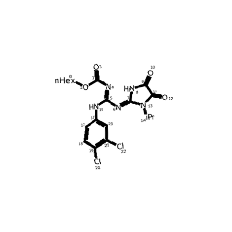 CCCCCCOC(=O)N=C(N=C1NC(=O)C(=O)N1C(C)C)Nc1ccc(Cl)c(Cl)c1